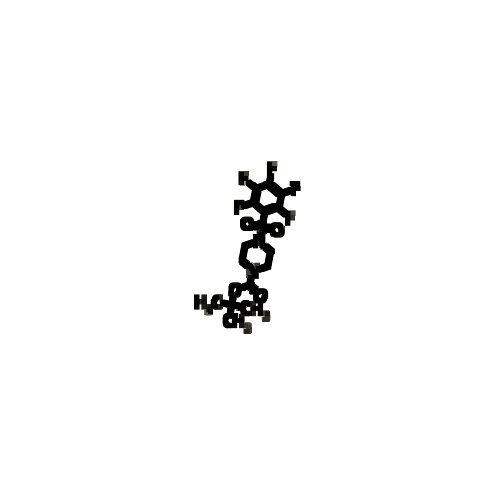 CC(C)(C)OC(=O)N1CCN(S(=O)(=O)c2c(F)c(F)c(F)c(F)c2F)CC1